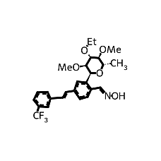 CCO[C@@H]1[C@@H](OC)[C@H](C)O[C@@H](c2cc(/C=C/c3cccc(C(F)(F)F)c3)ccc2C=NO)[C@H]1OC